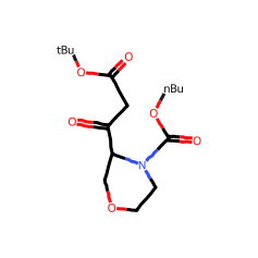 CCCCOC(=O)N1CCOCC1C(=O)CC(=O)OC(C)(C)C